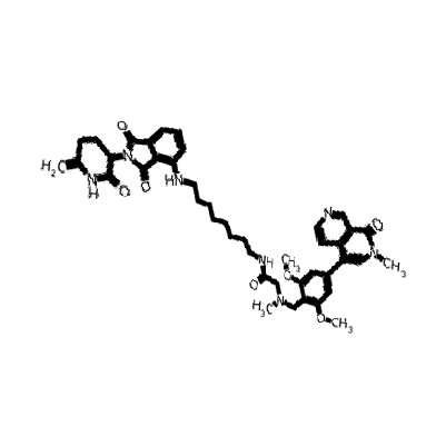 C=C1CCC(N2C(=O)c3cccc(NCCCCCCCCNC(=O)CN(C)Cc4c(OC)cc(-c5cn(C)c(=O)c6cnccc56)cc4OC)c3C2=O)C(=O)N1